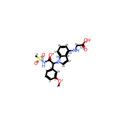 COc1cccc(C(C(=O)NS(C)(=O)=O)n2ccc3c(NCC(=O)O)cccc32)c1